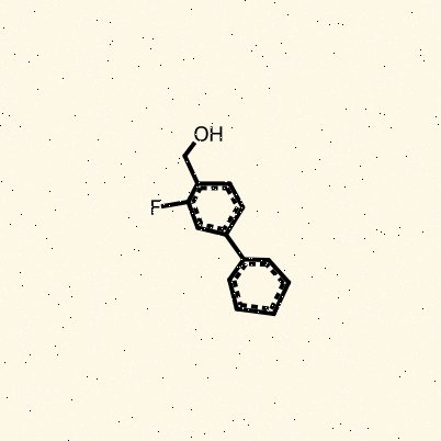 OCc1ccc(-c2ccccc2)cc1F